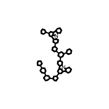 c1ccc(-c2ccc(-c3cccc(-c4cccc(-c5cc6c7ccccc7n7c8cc(-c9cc(-c%10ccccc%10)cc(-c%10cccc(-c%11ccc%12c(c%11)c%11cc(-c%13ccccc%13)cc%13c%14ccccc%14n%12c%13%11)c%10)c9)ccc8c(c5)c67)c4)c3)cc2)cc1